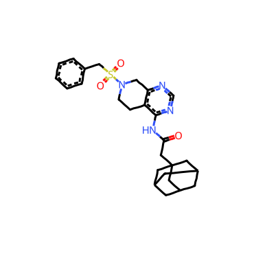 O=C(CC12CC3CC(CC(C3)C1)C2)Nc1ncnc2c1CCN(S(=O)(=O)Cc1ccccc1)C2